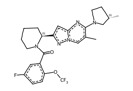 Cc1cn2nc([C@@H]3CCCCN3C(=O)c3cc(F)ccc3OC(F)(F)F)cc2nc1N1CC[C@H](C)C1